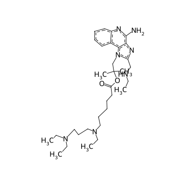 CCNCc1nc2c(N)nc3ccccc3c2n1CC(C)(C)OC(=O)CCCCCN(CC)CCCN(CC)CC